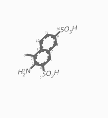 Cc1c(N)c(S(=O)(=O)O)cc2cc(S(=O)(=O)O)ccc12